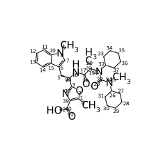 Cc1oc([C@@H](Cc2cn(C)c3ccccc23)NC(=O)[C@H](C)N(C(=O)N(C)C2CCCCC2)C2CCCCC2)nc1C(=O)O